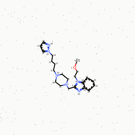 CCOCCn1c(CN2CCN(CCCCn3cccn3)CC2)nc2ccccc21